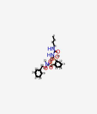 CCCCNC(=O)NS(=O)(=O)c1ccccc1S(=O)(=O)N(C)OCc1ccccc1